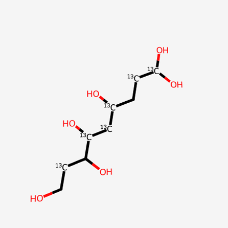 OC[13CH2]C(O)[13CH](O)[13CH2][13CH](O)C[13CH2][13CH](O)O